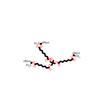 CCCCCCCCCC(C)OC(=O)CCCCCCC(=O)OCC(CO)(COC(=O)CCCCCCC(=O)OC(C)CCCCCCCCC)COC(=O)CCCCCCC(=O)OC(C)CCCCCCCCC